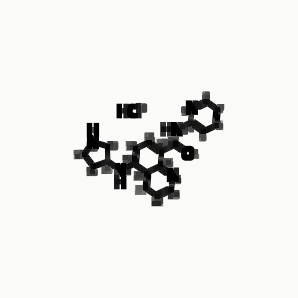 Cl.O=C(Nc1ccccn1)c1ccc(NC2CCNC2)c2cccnc12